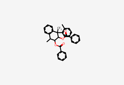 Cc1ccccc1C1(C(F)(F)F)c2ccccc2C(C)C(OC(=O)c2ccccc2)C1OC(=O)c1ccccc1